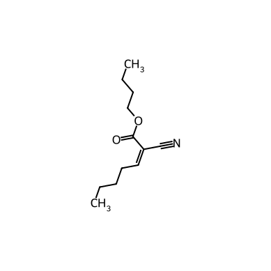 CCCCC=C(C#N)C(=O)OCCCC